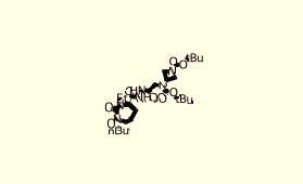 CCCCON1CCC[C@@H](C(=O)NNC(=O)CN(C(=O)OC(C)(C)C)C2CN(C(=O)OC(C)(C)C)C2)N(CC)C1=O